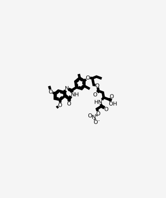 CCC(COC(=O)CC(NC(=O)CO[N+](=O)[O-])C(=O)O)Oc1c(C)cc(-c2nc3cc(OC)cc(OC)c3c(=O)[nH]2)cc1C